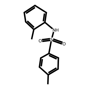 Cc1ccc(S(=O)(=O)Nc2ccccc2C)cc1